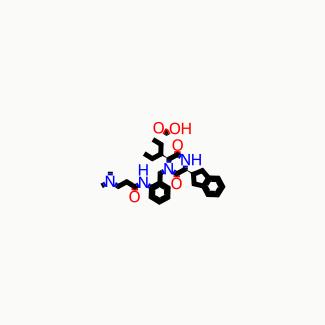 CCC(CC)[C@@H]1C(=O)N[C@H](C2Cc3ccccc3C2)C(=O)N1Cc1ccccc1NC(=O)CCN(C)C.O=CO